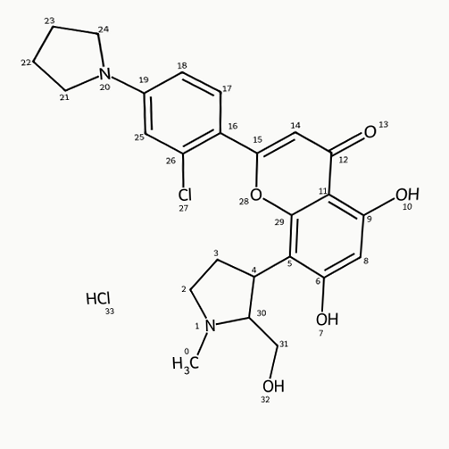 CN1CCC(c2c(O)cc(O)c3c(=O)cc(-c4ccc(N5CCCC5)cc4Cl)oc23)C1CO.Cl